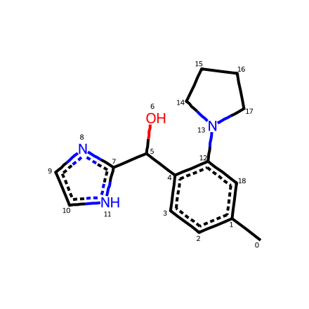 Cc1ccc(C(O)c2ncc[nH]2)c(N2CCCC2)c1